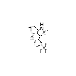 CC1=[C]C(c2cccc(C(F)(F)F)c2)C2=C(CC(C)(C)CC2=O)N1